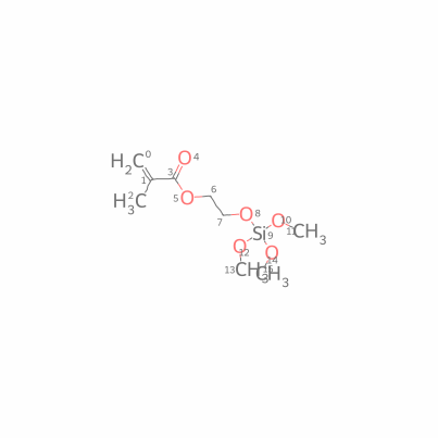 C=C(C)C(=O)OCCO[Si](OC)(OC)OC